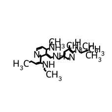 CC/C=C(/NCC)C1=NC=CC(NC)/C1=C\NCc1cnc(NCC(C)(C)C)c(C)c1